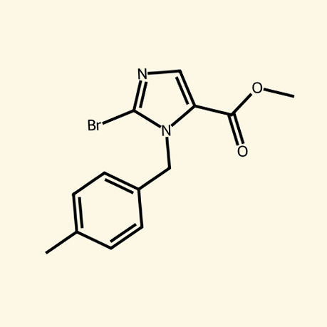 COC(=O)c1cnc(Br)n1Cc1ccc(C)cc1